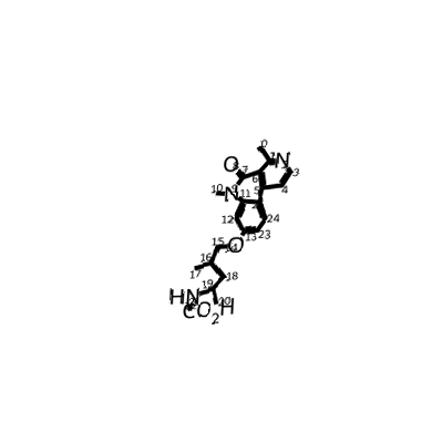 Cc1nccc2c1c(=O)n(C)c1cc(OCC(C)CC(C)NC(=O)O)ccc21